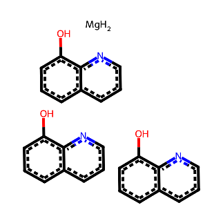 Oc1cccc2cccnc12.Oc1cccc2cccnc12.Oc1cccc2cccnc12.[MgH2]